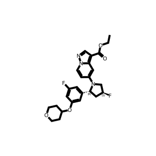 CCOC(=O)c1cnn2ccc(N3C[C@@H](F)C[C@@H]3c3cc(F)cc(OC4CCOCC4)c3)cc12